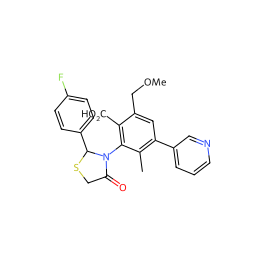 COCc1cc(-c2cccnc2)c(C)c(N2C(=O)CSC2c2ccc(F)cc2)c1C(=O)O